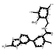 Cc1ncc(-c2ccn3nc(N)nc3c2)cc1C(=O)NCc1cc(F)cc(F)c1OCC(C)C